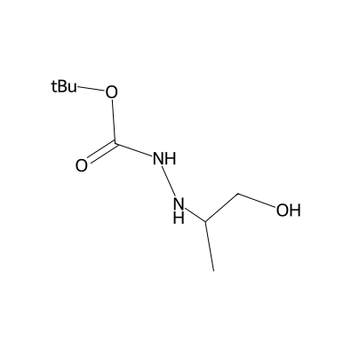 CC(CO)NNC(=O)OC(C)(C)C